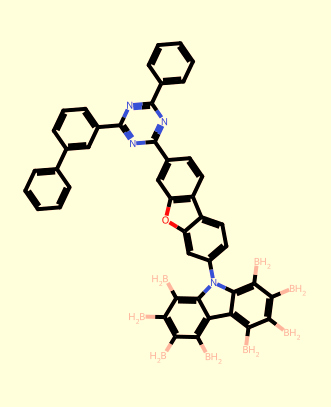 Bc1c(B)c(B)c2c(c1B)c1c(B)c(B)c(B)c(B)c1n2-c1ccc2c(c1)oc1cc(-c3nc(-c4ccccc4)nc(-c4cccc(-c5ccccc5)c4)n3)ccc12